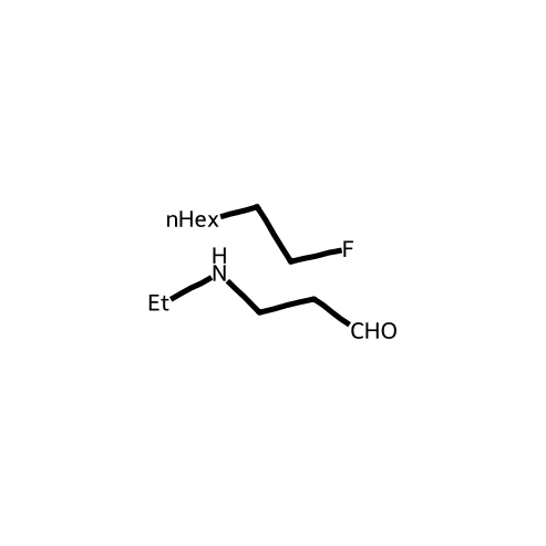 CCCCCCCCF.CCNCCC=O